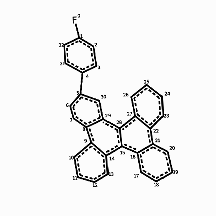 Fc1ccc(-c2ccc3c4ccccc4c4c5ccccc5c5ccccc5c4c3c2)cc1